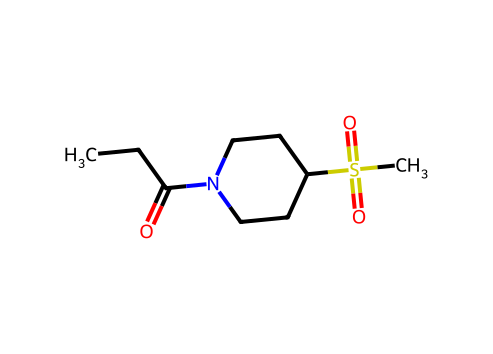 CCC(=O)N1CCC(S(C)(=O)=O)CC1